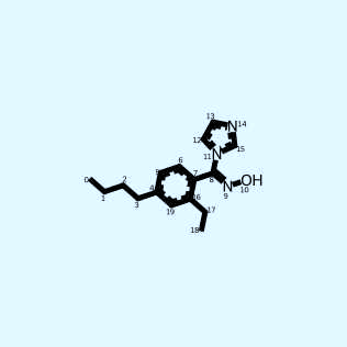 CCCCc1ccc(C(=NO)n2ccnc2)c(CC)c1